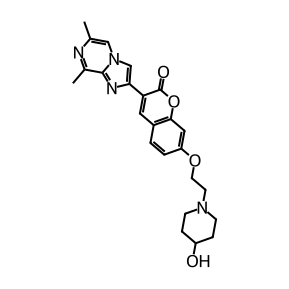 Cc1cn2cc(-c3cc4ccc(OCCN5CCC(O)CC5)cc4oc3=O)nc2c(C)n1